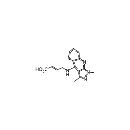 Cc1nn(C)c2nc3ccccc3c(NCC=CC(=O)O)c12